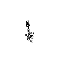 C=CC(CO)N(C)c1cnccc1C(=O)Nc1nnc(OCc2ccc(Cl)cc2)s1